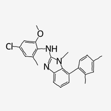 COc1cc(Cl)cc(C)c1Nc1nc2cccc(-c3ccc(C)cc3C)c2n1C